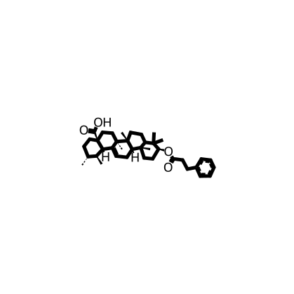 C[C@H]1[C@H](C)CC[C@]2(C(=O)O)CC[C@]3(C)C(=CC[C@@H]4[C@@]5(C)CC[C@H](OC(=O)CCc6ccccc6)C(C)(C)C5CC[C@]43C)[C@H]12